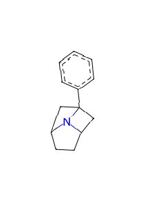 c1ccc(C23CC4CCC(C2)N43)cc1